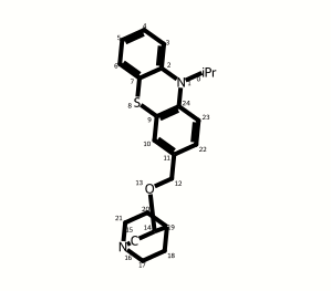 CC(C)N1c2ccccc2Sc2cc(COC3CN4CCC3CC4)ccc21